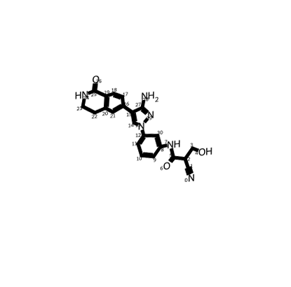 N#CC(CO)C(=O)Nc1cccc(-n2cc(-c3ccc4c(c3)CCNC4=O)c(N)n2)c1